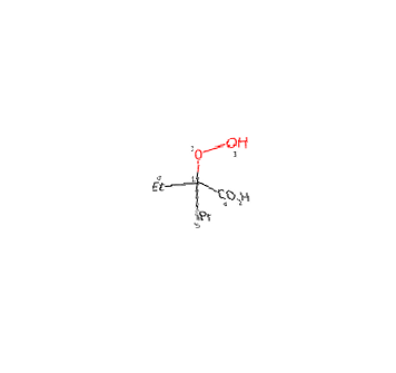 CCC(OO)(C(=O)O)C(C)C